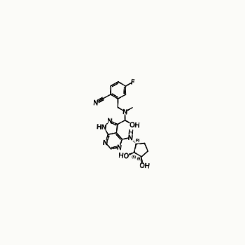 CN(Cc1cc(F)ccc1C#N)C(O)c1n[nH]c2ncnc(N[C@@H]3CC[C@@H](O)[C@H]3O)c12